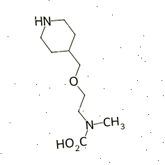 CN(CCOCC1CCNCC1)C(=O)O